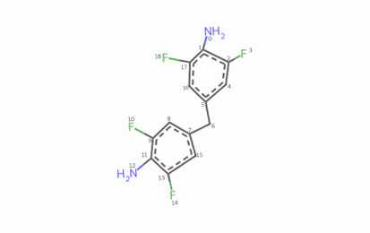 Nc1c(F)cc(Cc2cc(F)c(N)c(F)c2)cc1F